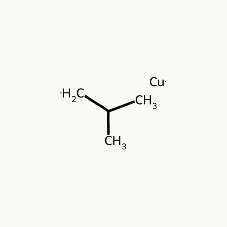 [CH2]C(C)C.[Cu]